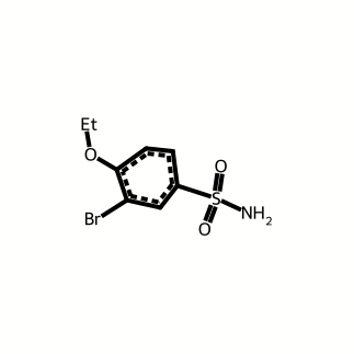 CCOc1ccc(S(N)(=O)=O)cc1Br